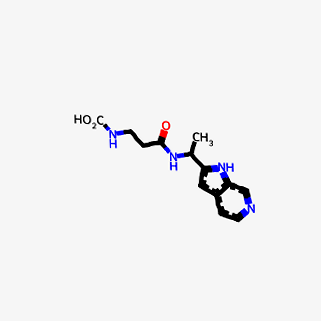 CC(NC(=O)CCNC(=O)O)c1cc2ccncc2[nH]1